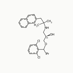 CC(C)C(OC[C@H](O)CNC(C)(C)Cc1ccc2ccccc2c1)c1c(Cl)cccc1Cl